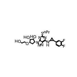 CCCSc1nc(NC2CC2c2ccc(F)c(F)c2)c2nnn([C@@H]3C[C@H](OCCO)[C@H](O)[C@H]3O)c2n1